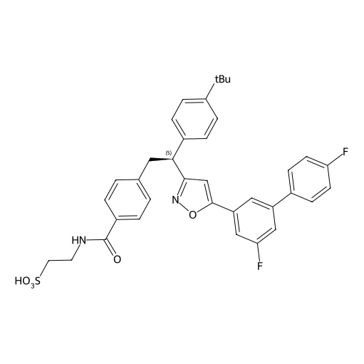 CC(C)(C)c1ccc([C@H](Cc2ccc(C(=O)NCCS(=O)(=O)O)cc2)c2cc(-c3cc(F)cc(-c4ccc(F)cc4)c3)on2)cc1